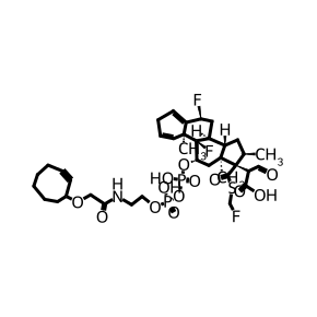 C[C@@H]1C[C@H]2[C@@H]3C[C@H](F)C4=CCC=C[C@]4(C)[C@@]3(F)[C@@H](OP(=O)(O)OP(=O)(O)OCCNC(=O)COC3C#CCCCCC3)C[C@]2(C)[C@]1(C(=O)SCF)C(C=O)C(=O)O